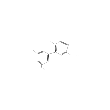 N#Cc1cc(F)cc(-c2cc(C=O)ccc2O)c1